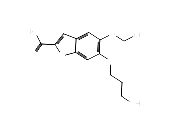 CCCCOc1cc2sc(C(=O)O)cc2cc1OCC